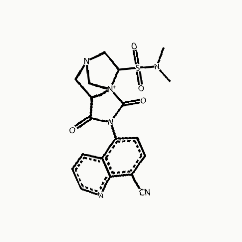 CN(C)S(=O)(=O)C1CN2CC3C(=O)N(c4ccc(C#N)c5ncccc45)C(=O)[N+]31C2